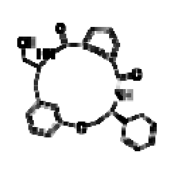 O=C1NC(CO)Cc2cccc(c2)OC[C@H](C2C=CC=CC2)NC(=O)c2cccc1c2